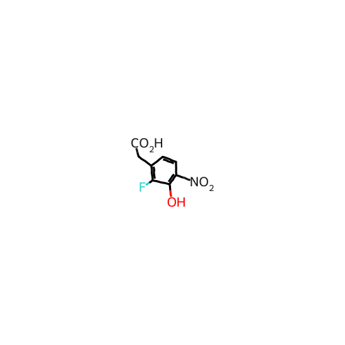 O=C(O)Cc1ccc([N+](=O)[O-])c(O)c1F